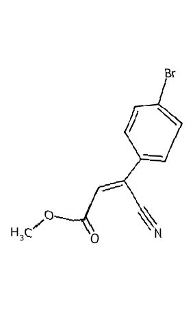 COC(=O)C=C(C#N)c1ccc(Br)cc1